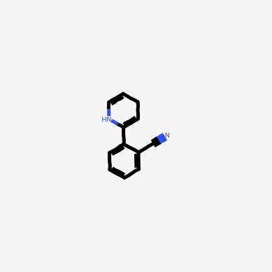 N#Cc1ccccc1C1=CCC=CN1